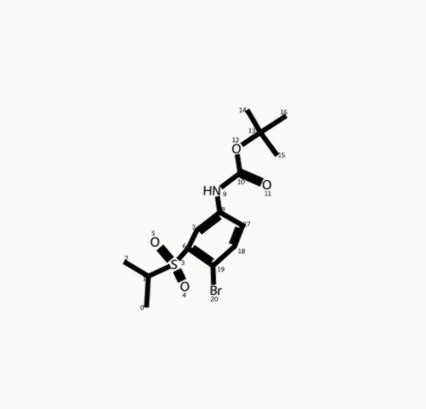 CC(C)S(=O)(=O)c1cc(NC(=O)OC(C)(C)C)ccc1Br